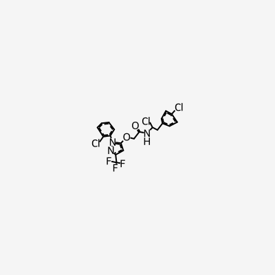 O=C(COc1cc(C(F)(F)F)nn1-c1ccccc1Cl)NC(Cl)Cc1ccc(Cl)cc1